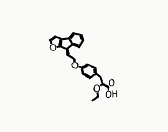 CCOC(Cc1ccc(OC/C=C2\c3ccccc3-c3ccoc32)cc1)C(=O)O